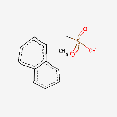 C.CS(=O)(=O)O.c1ccc2ccccc2c1